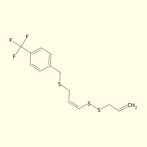 C=CCSS/C=C\CSCc1ccc(C(F)(F)F)cc1